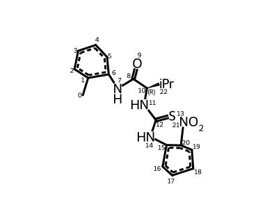 Cc1ccccc1NC(=O)[C@H](NC(=S)Nc1ccccc1[N+](=O)[O-])C(C)C